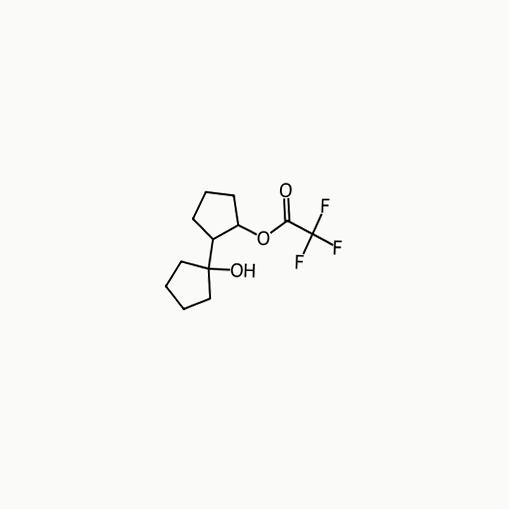 O=C(OC1CCCC1C1(O)CCCC1)C(F)(F)F